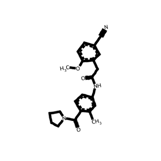 COc1ccc(C#N)cc1CC(=O)Nc1ccc(C(=O)N2CCCC2)c(C)c1